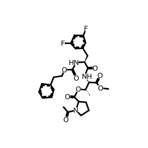 COC(=O)[C@@H](NC(=O)[C@H](Cc1cc(F)cc(F)c1)NC(=O)OCCc1ccccc1)[C@H](C)OC(=O)C1CCCN1C(C)=O